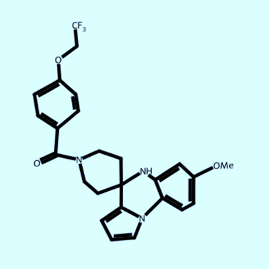 COc1ccc2c(c1)NC1(CCN(C(=O)c3ccc(OCC(F)(F)F)cc3)CC1)c1cccn1-2